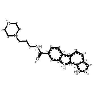 O=C(NCCCN1CCOCC1)c1ccc2c(c1)[nH]c1c2ccc2cn[nH]c21